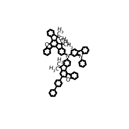 CC1(C)c2cc(N(c3ccc4c(c3)C(C)(C)c3c5c(c6oc7ccccc7c6c3-4)-c3ccccc3C5(C)C)c3ccc4c5ccccc5n(-c5ccccc5)c4c3)ccc2-c2c1cc(-c1ccc(-c3ccccc3)cc1)c1oc3ccccc3c21